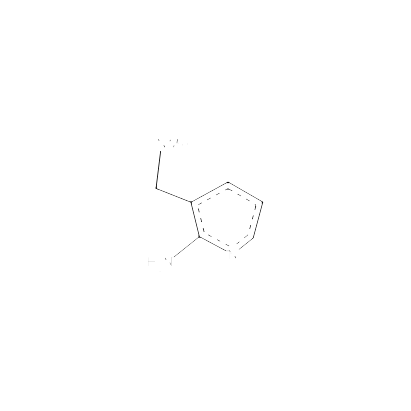 [CH2]NCc1cccnc1N